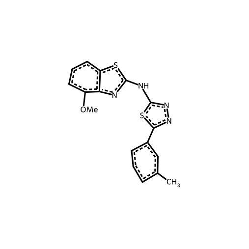 COc1cccc2sc(Nc3nnc(-c4cccc(C)c4)s3)nc12